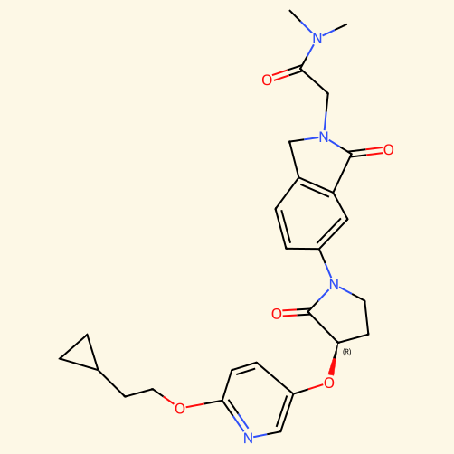 CN(C)C(=O)CN1Cc2ccc(N3CC[C@@H](Oc4ccc(OCCC5CC5)nc4)C3=O)cc2C1=O